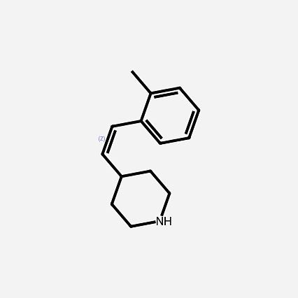 Cc1ccccc1/C=C\C1CCNCC1